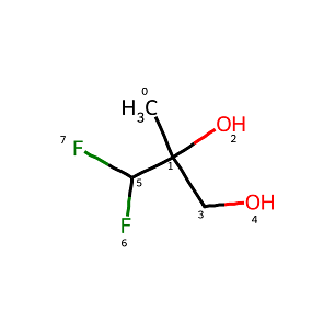 CC(O)(CO)C(F)F